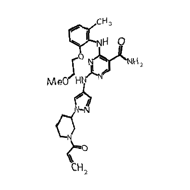 C=CC(=O)N1CCCC(n2cc(Nc3ncc(C(N)=O)c(Nc4c(C)cccc4OCCOC)n3)cn2)C1